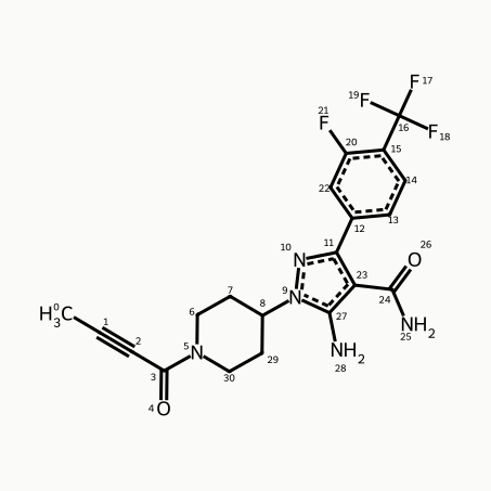 CC#CC(=O)N1CCC(n2nc(-c3ccc(C(F)(F)F)c(F)c3)c(C(N)=O)c2N)CC1